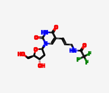 O=C(NC/C=C/c1cn([C@H]2C[C@H](O)[C@@H](CO)O2)c(=O)[nH]c1=O)C(F)(F)F